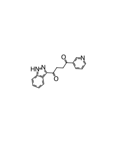 O=C(CCC(=O)c1n[nH]c2ccccc12)c1cccnc1